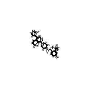 CN(Cc1ccc(F)cc1C(F)(F)F)C1CCN(c2nnc(-c3ccnn3C)c3cccnc23)CC1